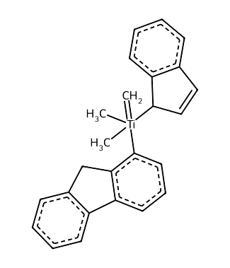 [CH2]=[Ti]([CH3])([CH3])([c]1cccc2c1Cc1ccccc1-2)[CH]1C=Cc2ccccc21